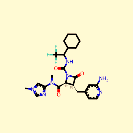 CN(C(=O)[C@@H]1[C@@H](Cc2ccnc(N)c2)C(=O)N1C(=O)NC(C1CCCCC1)C(F)(F)F)c1cn(C)cn1